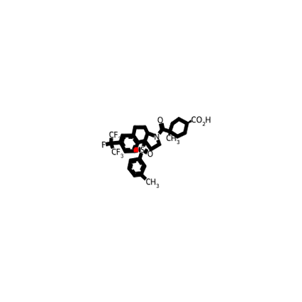 Cc1cccc(S(=O)(=O)C23CCN(C(=O)[C@]4(C)CC[C@@H](C(=O)O)CC4)C2CCc2cc(C(F)(C(F)(F)F)C(F)(F)F)ccc23)c1